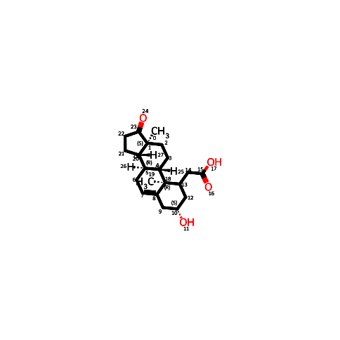 C[C@]12CC[C@H]3[C@@H](CC=C4C[C@@H](O)CC(CC(=O)O)[C@@]43C)[C@@H]1CCC2=O